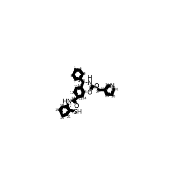 O=C(N[C@@H](c1ccccc1)c1ccc(C(=O)Nc2ccccc2S)cc1)OCc1cccnc1